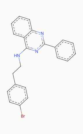 Brc1ccc(CCNc2nc(-c3ccccc3)nc3ccccc23)cc1